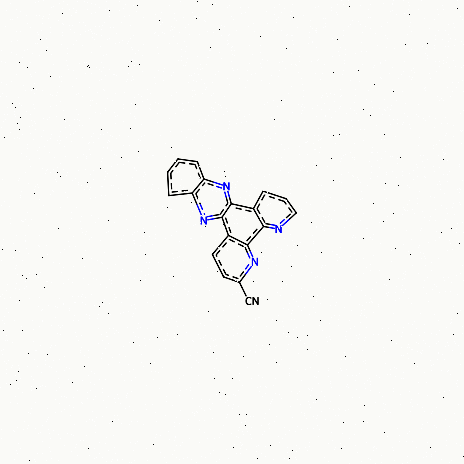 N#Cc1ccc2c(n1)c1ncccc1c1nc3ccccc3nc21